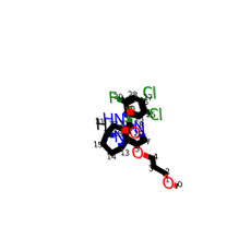 COCCCOc1cnc(F)c2c1C1CC[C@@H](C2)N1C(=O)Nc1cc(Cl)c(Cl)cc1F